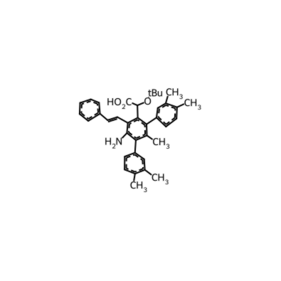 Cc1ccc(-c2c(C)c(-c3ccc(C)c(C)c3)c(C(OC(C)(C)C)C(=O)O)c(/C=C/c3ccccc3)c2N)cc1C